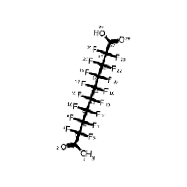 CC(=O)C(F)(F)C(F)(F)C(F)(F)C(F)(F)C(F)(F)C(F)(F)C(F)(F)C(F)(F)C(=O)O